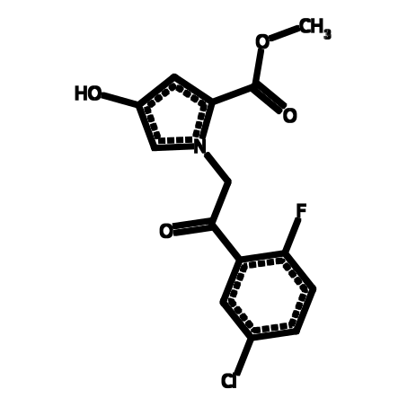 COC(=O)c1cc(O)cn1CC(=O)c1cc(Cl)ccc1F